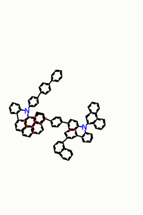 c1ccc(-c2ccc(-c3ccc(N(c4ccccc4-c4cccc(-c5cccc6c(-c7ccc(-c8ccc(N(c9ccccc9-c9cccc(-c%10cccc%11ccccc%10%11)c9)c9cc%10ccccc%10c%10ccccc9%10)cc8)cc7)cccc56)c4)c4cc5ccccc5c5ccccc45)cc3)cc2)cc1